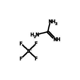 F[B-](F)(F)F.N=C(N)N